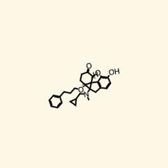 CN(CC1CC1)C12Cc3ccc(O)c4c3C13[C@@H](O4)C(=O)CC[C@]32OCCCc1ccccc1